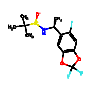 C[C@H](N[S+]([O-])C(C)(C)C)c1cc2c(cc1F)OC(F)(F)O2